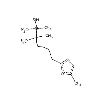 Cc1ccc(CCCC(C)(C)[Si](C)(C)O)o1